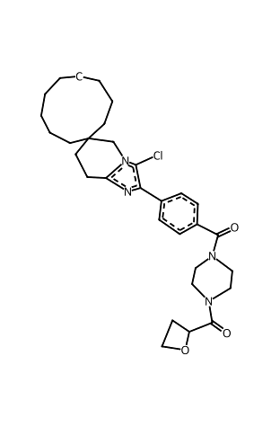 O=C(c1ccc(-c2nc3n(c2Cl)CC2(CCCCCCCCC2)CC3)cc1)N1CCN(C(=O)C2CCO2)CC1